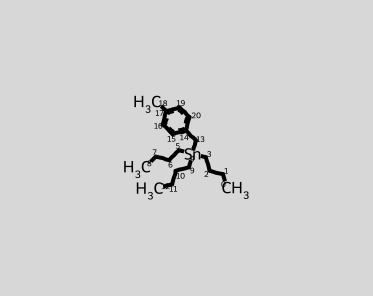 CCC[CH2][Sn]([CH2]CCC)([CH2]CCC)[CH2]c1ccc(C)cc1